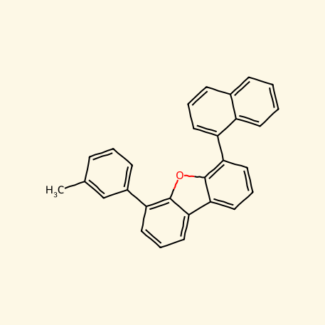 Cc1cccc(-c2cccc3c2oc2c(-c4cccc5ccccc45)cccc23)c1